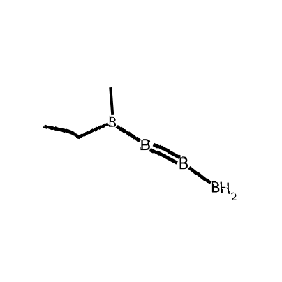 BB=BB(C)CC